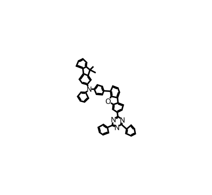 CC1(C)c2ccccc2-c2ccc(N(c3ccccc3)c3ccc(-c4cccc5c4oc4cc(-c6nc(-c7ccccc7)nc(-c7ccccc7)n6)ccc45)cc3)cc21